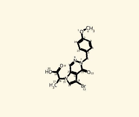 COc1ccc(Cn2ncc3c(c(Br)cn3C(C)C(=O)O)c2=O)cc1